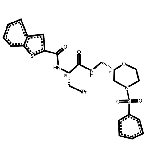 CC(C)C[C@H](NC(=O)c1cc2ccccc2s1)C(=O)NC[C@H]1CN(S(=O)(=O)c2ccccc2)CCO1